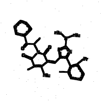 CCCCC1=C(C)C(=O)N(C(C)C(=O)c2ccccc2)C(=O)/C1=C\c1sc(N(CCCC)CCCC)nc1-c1c(C)cccc1C(C)C